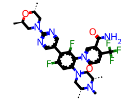 C[C@@H]1CN(c2ncc(-c3c(F)cc(N4C[C@@H](C)N(C)[C@@H](C)C4)c(-n4cc(C(N)=O)c(C(F)(F)F)cc4=O)c3F)cn2)C[C@@H](C)O1